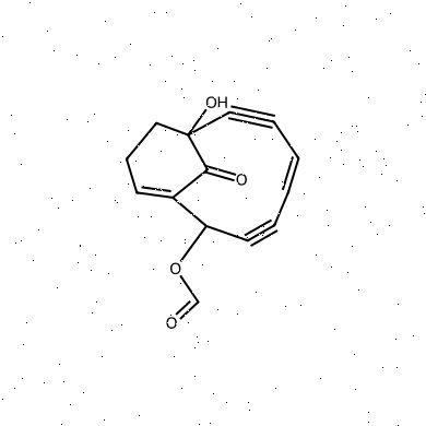 O=COC1C#CC=CC#CC2(O)CCC=C1C2=O